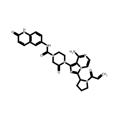 C=CC(=O)N1CCCC1c1nc(N2CCN(C(=O)Nc3ccc4[nH]c(=O)ccc4c3)CC2=O)c2c(N)nccn12